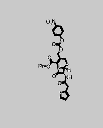 CC(C)OC(=O)C1=C(COC(=O)Oc2ccc([N+](=O)[O-])cc2)CS[C@@H]2[C@H](NC(=O)Cc3cccs3)C(=O)N12